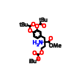 CC[C@H](C)OC(=O)OCC[C@@](N)(Cc1ccc(OC(=O)C(C)(C)C)c(OC(=O)C(C)(C)C)c1)C(=O)OC